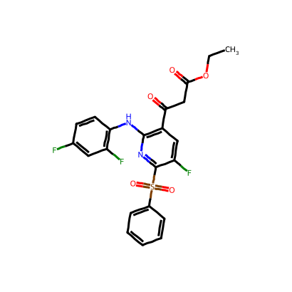 CCOC(=O)CC(=O)c1cc(F)c(S(=O)(=O)c2ccccc2)nc1Nc1ccc(F)cc1F